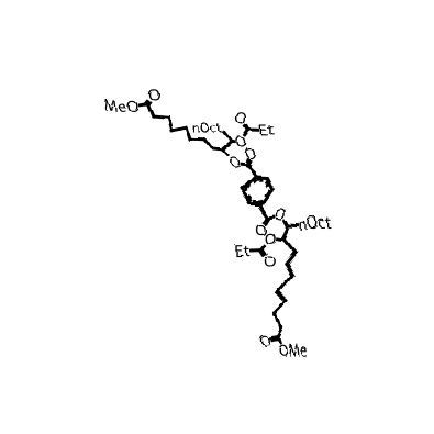 CCCCCCCCC(OC(=O)CC)C(CCCCCCCC(=O)OC)OC(=O)c1ccc(C(=O)OC(CCCCCCCC)C(CCCCCCCC(=O)OC)OC(=O)CC)cc1